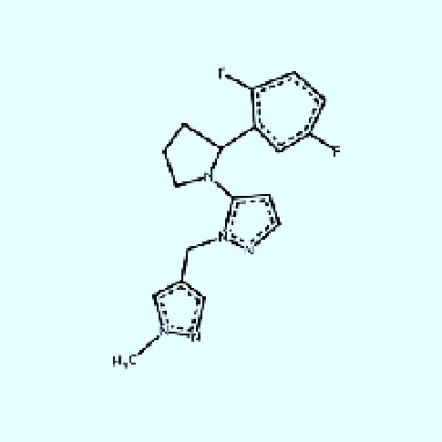 Cn1cc(Cn2nccc2N2CCCC2c2cc(F)ccc2F)cn1